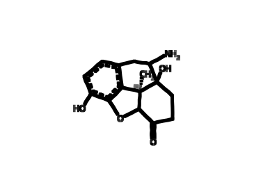 C[C@@]12c3c4ccc(O)c3OC1C(=O)CCC2(O)C(N)C4